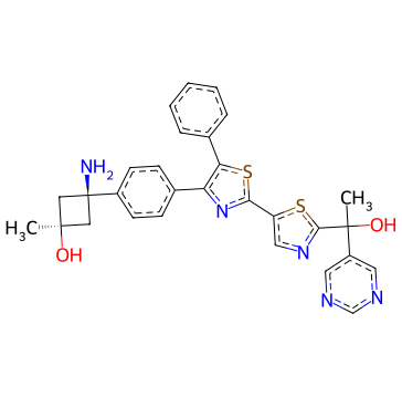 CC(O)(c1cncnc1)c1ncc(-c2nc(-c3ccc([C@]4(N)C[C@@](C)(O)C4)cc3)c(-c3ccccc3)s2)s1